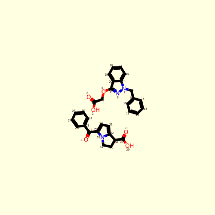 O=C(O)COc1nn(Cc2ccccc2)c2ccccc12.O=C(c1ccccc1)c1ccc2n1CCC2C(=O)O